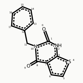 O=c1[nH]c2sccc2c(=O)n1Cc1ccccc1